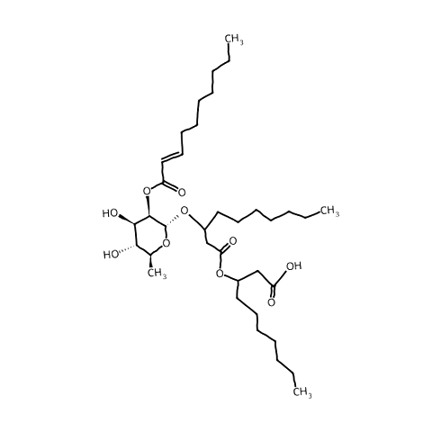 CCCCCCC/C=C/C(=O)O[C@H]1[C@H](OC(CCCCCCC)CC(=O)OC(CCCCCCC)CC(=O)O)O[C@@H](C)[C@H](O)[C@H]1O